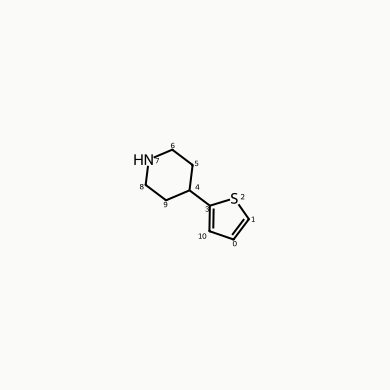 c1csc(C2CCNCC2)c1